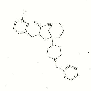 NC(=O)C(Cc1cccc(C(F)(F)F)n1)CC1(N2CCN(Cc3ccccc3)CC2)CCSCC1